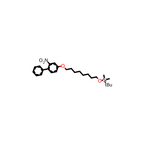 CC(C)(C)[Si](C)(C)OCCCCCCCCOc1ccc(-c2ccccc2)c([N+](=O)[O-])c1